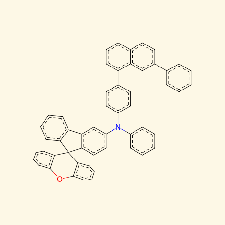 c1ccc(-c2ccc3cccc(-c4ccc(N(c5ccccc5)c5ccc6c(c5)-c5ccccc5C65c6ccccc6Oc6ccccc65)cc4)c3c2)cc1